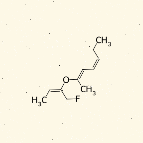 C/C=C(\CF)O/C(C)=C/C=C\CC